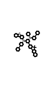 CC1(C)c2cc(-c3cc(N(c4ccccc4)c4cccc(-c5ccccc5)c4)cc(N(c4ccc(-c5ccccc5)cc4)c4ccc5sc6ccccc6c5c4)c3)ccc2-c2cc3ccccc3cc21